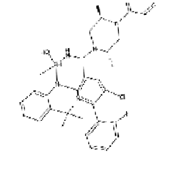 C=CC(=O)N1C[C@H](C)N(C2N[PH](C)(O)N(c3ccccc3C(C)(C)C)c3nc(-c4ccccc4F)c(Cl)cc32)C[C@H]1C